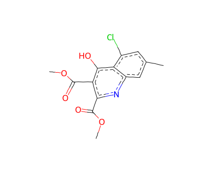 COC(=O)c1nc2cc(C)cc(Cl)c2c(O)c1C(=O)OC